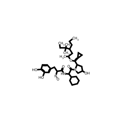 CCCC(CC(C)OC(=C1CC1)C1CC(O)CN1C(=O)C(NC(=O)C(Cc1ccc(O)c(O)c1)N=O)C1CCCCC1)C(C)(C)CC